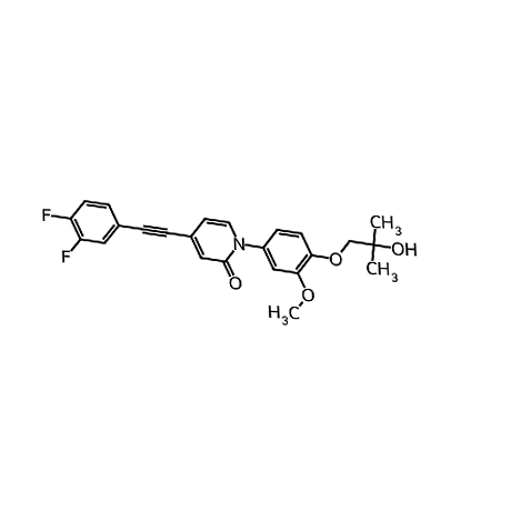 COc1cc(-n2ccc(C#Cc3ccc(F)c(F)c3)cc2=O)ccc1OCC(C)(C)O